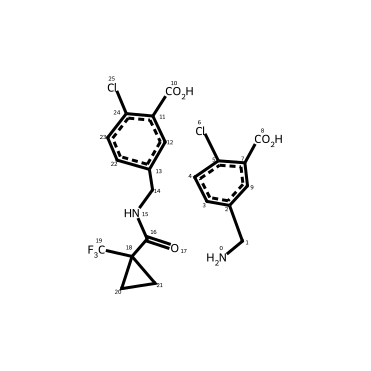 NCc1ccc(Cl)c(C(=O)O)c1.O=C(O)c1cc(CNC(=O)C2(C(F)(F)F)CC2)ccc1Cl